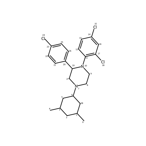 CC1CC(C)CC(N2CCN(c3ccc(Cl)cc3Cl)C(c3ccc(Cl)cc3)C2)C1